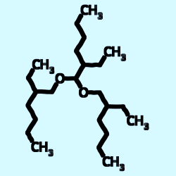 CCCCC(CC)COC(OCC(CC)CCCC)C(CC)CCCC